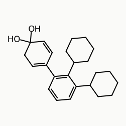 OC1(O)C=CC(c2cccc(C3CCCCC3)c2C2CCCCC2)=CC1